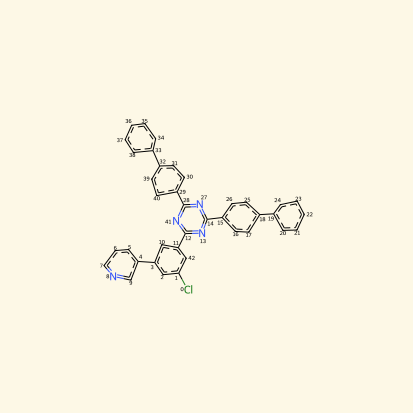 Clc1cc(-c2cccnc2)cc(-c2nc(-c3ccc(-c4ccccc4)cc3)nc(-c3ccc(-c4ccccc4)cc3)n2)c1